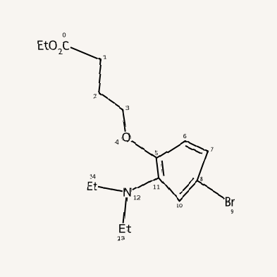 CCOC(=O)CCCOc1ccc(Br)cc1N(CC)CC